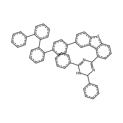 c1ccc(C2=NC(c3cccc4sc5ccc(-c6ccc(-c7ccccc7-c7ccccc7-c7ccccc7)cc6)cc5c34)=NC(c3ccccc3)N2)cc1